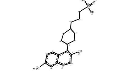 COc1ccc2c(N3CCC(CCCP(=O)(O)O)CC3)c(C#N)cnc2c1